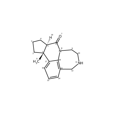 C[C@@]12CCC[C@H]1C(=O)N1CCNCc3cccc2c31